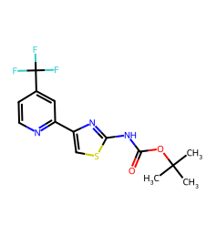 CC(C)(C)OC(=O)Nc1nc(-c2cc(C(F)(F)F)ccn2)cs1